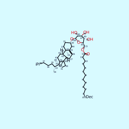 CCCCCCCCCCCCCCCCCCCCCC(=O)OC[C@H]1O[C@@H](O[C@H]2CC[C@@]3(C)C(=CC[C@H]4[C@@H]5CC[C@H]([C@H](C)CCCC(C)C)[C@@]5(C)CC[C@@H]43)C2)[C@H](O)[C@@H](O)[C@@H]1O